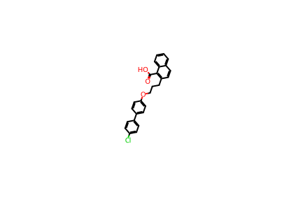 O=C(O)c1c(CCCOc2ccc(-c3ccc(Cl)cc3)cc2)ccc2ccccc12